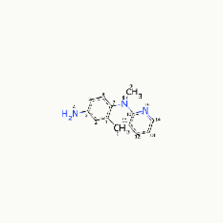 Cc1cc(N)ccc1N(C)c1ccccn1